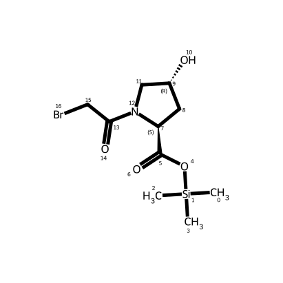 C[Si](C)(C)OC(=O)[C@@H]1C[C@@H](O)CN1C(=O)CBr